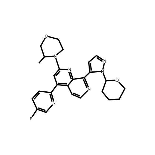 CC1COCCN1c1cc(-c2ccc(F)cn2)c2ccnc(-c3ccnn3C3CCCCO3)c2n1